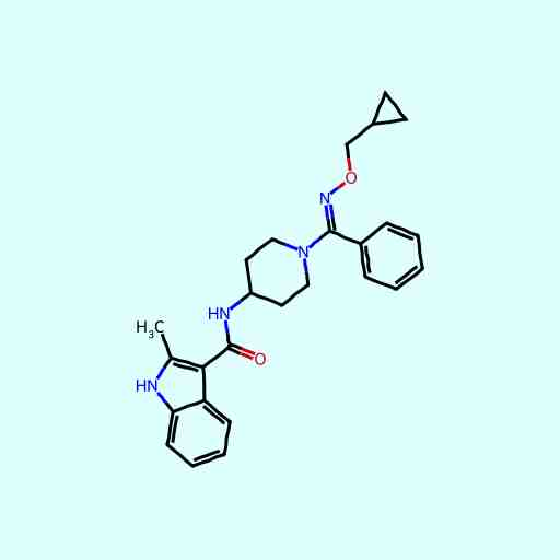 Cc1[nH]c2ccccc2c1C(=O)NC1CCN(/C(=N/OCC2CC2)c2ccccc2)CC1